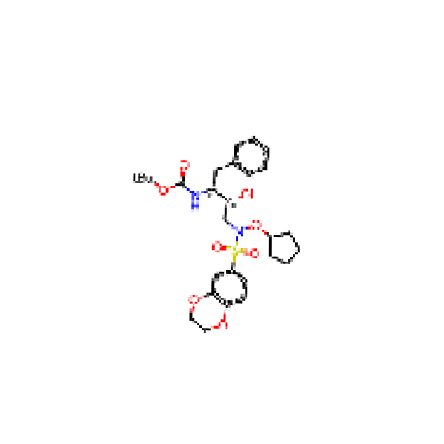 CC(C)(C)OC(=O)N[C@@H](Cc1ccccc1)[C@H](O)CN(OC1CCCC1)S(=O)(=O)c1ccc2c(c1)OCCO2